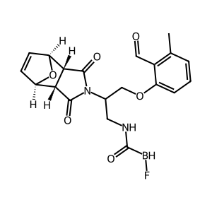 Cc1cccc(OCC(CNC(=O)BF)N2C(=O)[C@@H]3[C@H](C2=O)[C@H]2C=C[C@@H]3O2)c1C=O